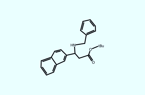 CC(C)(C)OC(=O)CC(NCc1ccccc1)c1ccc2ccccc2c1